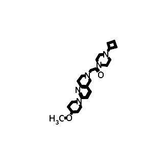 COC1CCN(c2ccc3c(n2)CCN(CC(=O)N2CCN(C4CCC4)CC2)C3)CC1